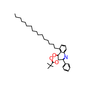 CCCCCCCCCCCCCCCCc1cccc2c1C(=O)C(OC(=O)C(C)(C)C)C(c1ccccc1)=N2